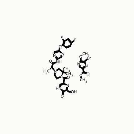 COC(=O)c1cnc(OC)c(Br)n1.C[C@@H](C(=O)Nc1cnc(Oc2ccc(F)cc2F)cn1)N1CCN(C(=O)c2c[nH]c(=O)c(CO)n2)C(C)(C)C1